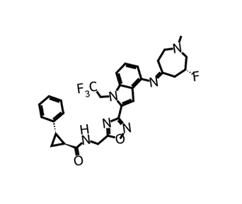 CN1CC/C(=N\c2cccc3c2cc(-c2noc(CNC(=O)[C@H]4C[C@@H]4c4ccccc4)n2)n3CC(F)(F)F)C[C@@H](F)C1